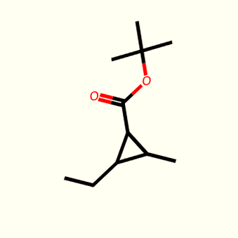 CCC1C(C)C1C(=O)OC(C)(C)C